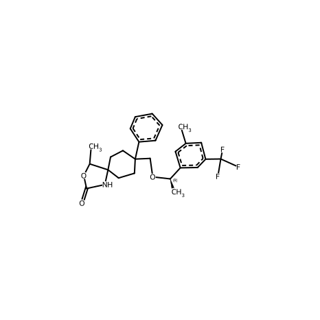 Cc1cc([C@@H](C)OCC2(c3ccccc3)CCC3(CC2)NC(=O)OC3C)cc(C(F)(F)F)c1